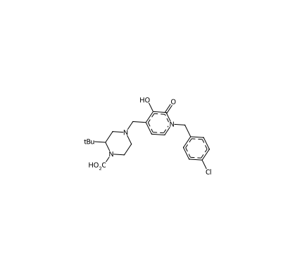 CC(C)(C)C1CN(Cc2ccn(Cc3ccc(Cl)cc3)c(=O)c2O)CCN1C(=O)O